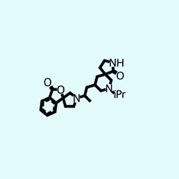 CC(C)N1CC(CC(C)N2CCC3(C2)OC(=O)c2ccccc23)CC2(CCNC2=O)C1